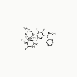 C[C@@H]1CN2c3c(cc(C(=NO)c4cnccn4)c(F)c3F)CC3(C(=O)NC(=O)NC3=O)[C@H]2[C@H](C)O1